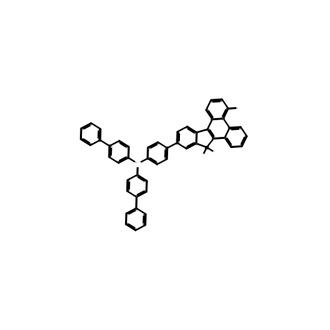 Cc1cccc2c3c(c4ccccc4c12)C(C)(C)c1cc(-c2ccc(N(c4ccc(-c5ccccc5)cc4)c4ccc(-c5ccccc5)cc4)cc2)ccc1-3